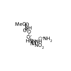 COC(=O)CNC(=O)c1cccc(-c2cccc(CNc3ncc([N+](=O)[O-])c(NC[C@H]4CC[C@H](CN)CC4)n3)c2C)c1